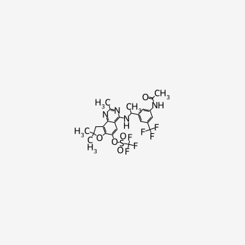 CC(=O)Nc1cc(C(C)Nc2nc(C)nc3c4c(c(OS(=O)(=O)C(F)(F)F)cc23)OC(C)(C)C4)cc(C(F)(F)F)c1